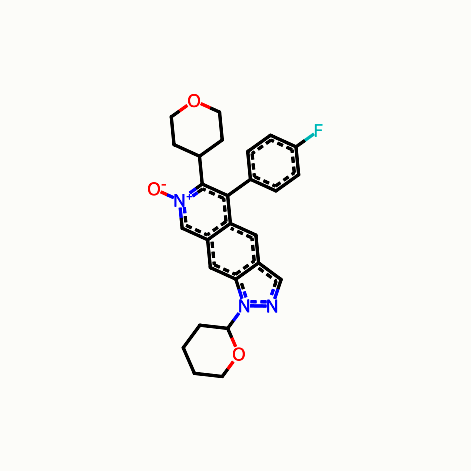 [O-][n+]1cc2cc3c(cnn3C3CCCCO3)cc2c(-c2ccc(F)cc2)c1C1CCOCC1